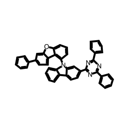 c1ccc(-c2ccc3c(c2)oc2cccc(-n4c5ccccc5c5ccc(-c6nc(-c7ccccc7)nc(-c7ccccc7)n6)cc54)c23)cc1